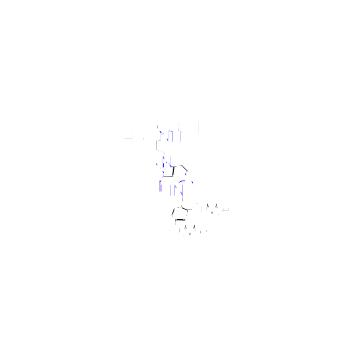 COc1ccc(CNc2nccc3c2c(I)nn3CCC(C)NC(=O)O)c(OC)c1